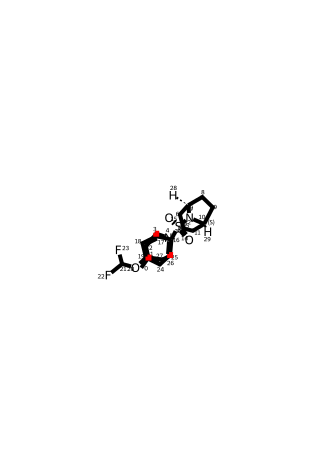 CC1CCN([C@@H]2C[C@H]3CC[C@@H](C2)N3S(=O)(=O)c2ccc(OC(F)F)cc2)CC1